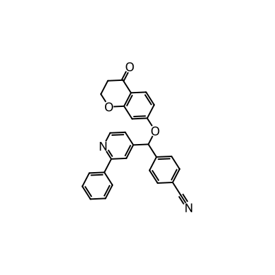 N#Cc1ccc(C(Oc2ccc3c(c2)OCCC3=O)c2ccnc(-c3ccccc3)c2)cc1